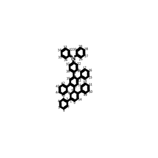 C1=C(c2ccccc2)CC(c2cc(-c3ccccc3)c(-c3ccc(N(c4ccccc4)c4ccccc4)cc3)cc2-c2ccccc2)C(c2ccccc2)=C1